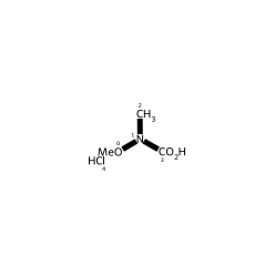 CON(C)C(=O)O.Cl